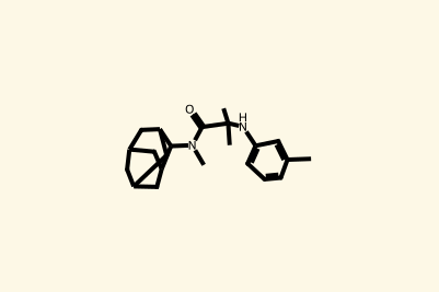 Cc1cccc(NC(C)(C)C(=O)N(C)C2C3CC4CC(C3)CC2C4)c1